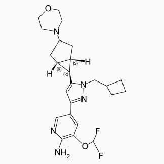 Nc1ncc(-c2cc([C@H]3[C@@H]4CC(N5CCOCC5)C[C@@H]43)n(CC3CCC3)n2)cc1OC(F)F